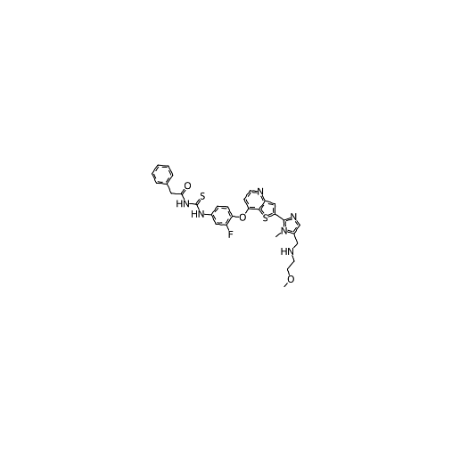 COCCNCc1cnc(-c2cc3nccc(Oc4ccc(NC(=S)NC(=O)Cc5ccccc5)cc4F)c3s2)n1C